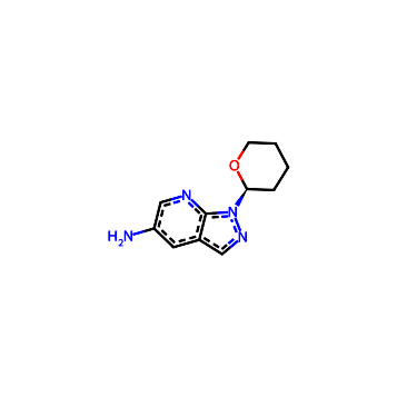 Nc1cnc2c(cnn2[C@@H]2CCCCO2)c1